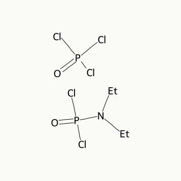 CCN(CC)P(=O)(Cl)Cl.O=P(Cl)(Cl)Cl